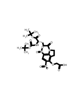 CC(C)(C)OC(=O)N[C@@H](CCC(=O)N1CCc2c(OCC(=O)O)c([N+](=O)[O-])cc([N+](=O)[O-])c21)C(=O)OC(C)(C)C